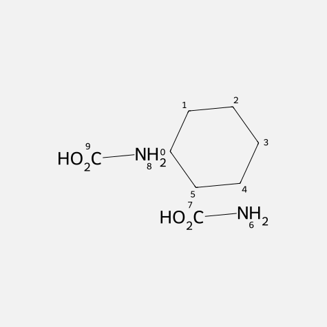 C1CCCCC1.NC(=O)O.NC(=O)O